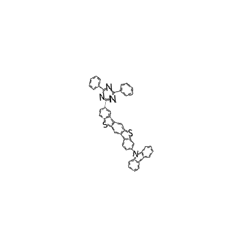 c1ccc(-c2nc(-c3ccccc3)nc(-c3ccc4sc5cc6c(cc5c4c3)sc3cc(-n4c5ccccc5c5ccccc54)ccc36)n2)cc1